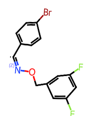 Fc1cc(F)cc(CO/N=[C]\c2ccc(Br)cc2)c1